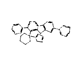 C1=CCC(C2(c3c(-c4ccccc4)ccc4c3Cc3cc(-c5ccccc5)ccc3-4)CCCCC2)=C1